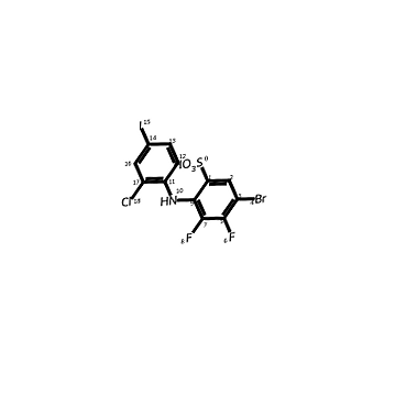 O=S(=O)(O)c1cc(Br)c(F)c(F)c1Nc1ccc(I)cc1Cl